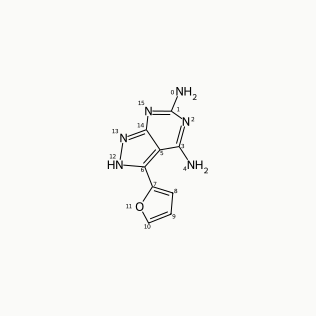 Nc1nc(N)c2c(-c3ccco3)[nH]nc2n1